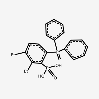 C=P(c1ccccc1)(c1ccccc1)c1ccc(CC)c(CC)c1P(=O)(O)O